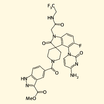 COC(=O)c1n[nH]c2ccc(C(=O)N3CCC4(CC3)C(=O)N(CC(=O)NCC(F)(F)F)c3ccc(F)c(-n5ccc(N)nc5=O)c34)cc12